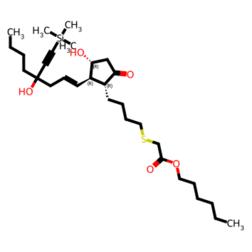 CCCCCCOC(=O)CSCCCC[C@H]1C(=O)C[C@@H](O)[C@@H]1C=CCC(O)(C#C[Si](C)(C)C)CCCC